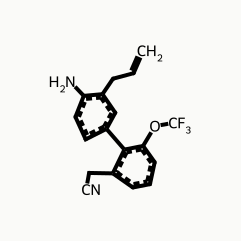 C=CCc1cc(-c2c(CC#N)cccc2OC(F)(F)F)ccc1N